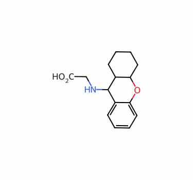 O=C(O)CNC1c2ccccc2OC2CCCCC21